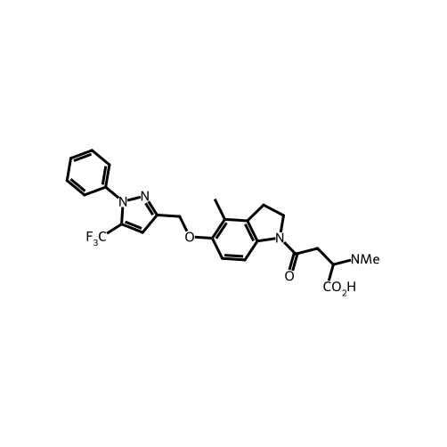 CNC(CC(=O)N1CCc2c1ccc(OCc1cc(C(F)(F)F)n(-c3ccccc3)n1)c2C)C(=O)O